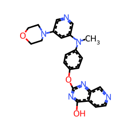 CN(c1ccc(Oc2nc(O)c3ccncc3n2)cc1)c1cncc(N2CCOCC2)c1